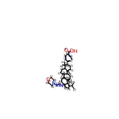 C=C(/C=C\C(=C/C)C(=O)O)[C@H]1CC[C@@]2(C)C(CC[C@]3(C)C2CC[C@@H]2C4[C@H](C(C)C)CC[C@]4(NCCN4CCOCC4)CC[C@]23C)C1(C)C